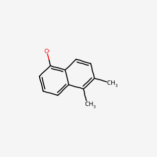 Cc1ccc2c([O])cccc2c1C